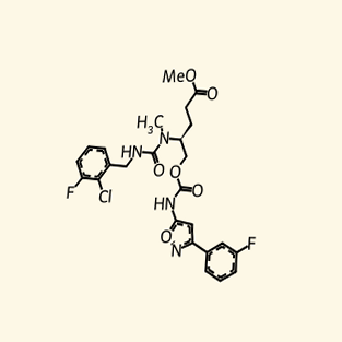 COC(=O)CC[C@@H](COC(=O)Nc1cc(-c2cccc(F)c2)no1)N(C)C(=O)NCc1cccc(F)c1Cl